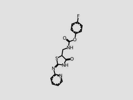 O=C(NCC1S/C(=N/c2ccccn2)NC1=O)Oc1ccc(F)cc1